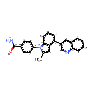 Cc1cc2c(-c3cnc4ccccc4c3)cccc2n1-c1ccc(C(N)=O)cc1